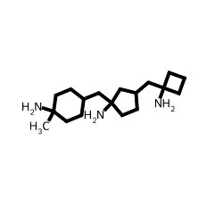 CC1(N)CCC(CC2(N)CCC(CC3(N)CCC3)C2)CC1